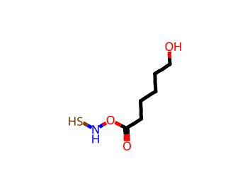 O=C(CCCCCO)ONS